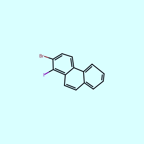 Brc1ccc2c(ccc3ccccc32)c1I